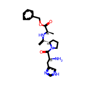 C=C(N[C@H](C)C(=O)OCc1ccccc1)[C@@H]1CCCN1C(=O)[C@@H](N)Cc1c[nH]cn1